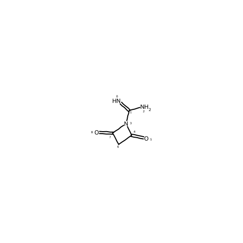 N=C(N)N1C(=O)CC1=O